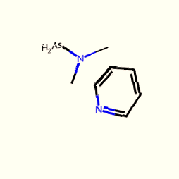 CN(C)[AsH2].c1ccncc1